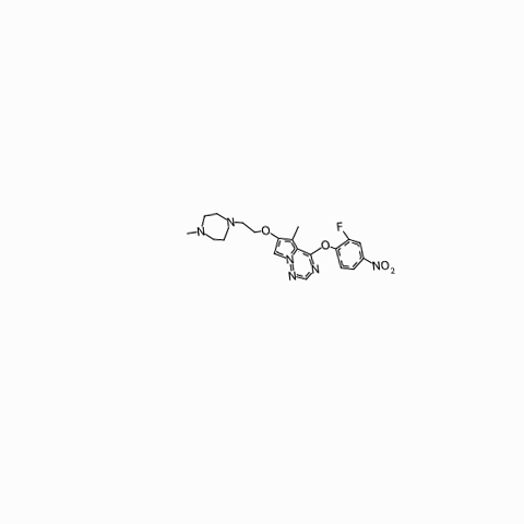 Cc1c(OCCN2CCN(C)CC2)cn2ncnc(Oc3ccc([N+](=O)[O-])cc3F)c12